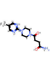 NC(=O)CCC(=O)N1CCN(c2ncc(C(F)(F)F)cn2)CC1